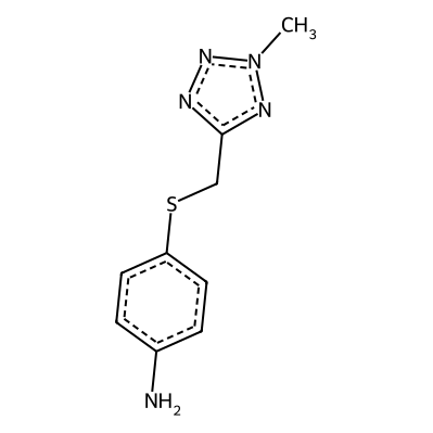 Cn1nnc(CSc2ccc(N)cc2)n1